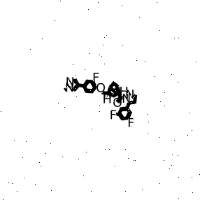 Cn1cc(-c2ccc(OC[C@@H]3C[C@H](C(=O)N4N=CCC4c4cc(F)cc(F)c4)C4CC3C4)c(F)c2)cn1